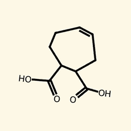 O=C(O)C1CC=CCCC1C(=O)O